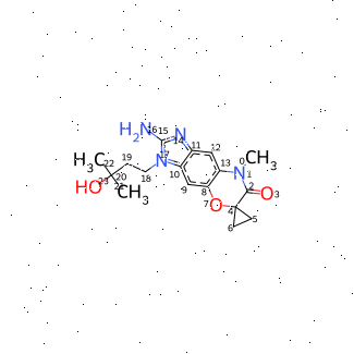 CN1C(=O)C2(CC2)Oc2cc3c(cc21)nc(N)n3CCC(C)(C)O